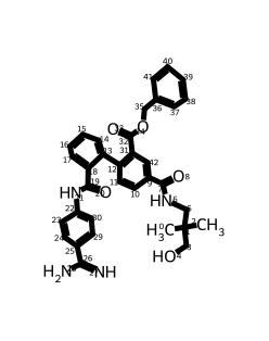 CC(C)(CO)CNC(=O)c1ccc(-c2ccccc2C(=O)Nc2ccc(C(=N)N)cc2)c(C(=O)OCc2ccccc2)c1